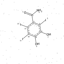 NC(=O)c1c(I)c(O)c(O)c(I)c1I